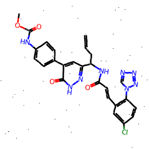 C=CCC(NC(=O)/C=C/c1cc(Cl)ccc1-n1cnnn1)c1cc(-c2ccc(NC(=O)OC)cc2)c(=O)[nH]n1